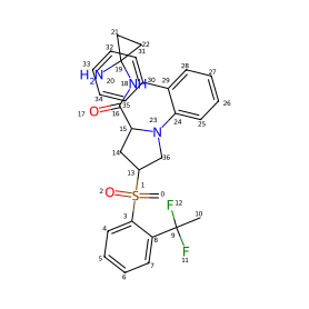 C=S(=O)(c1ccccc1C(C)(F)F)C1CC(C(=O)NC2(N)CC2)N(c2ccccc2-c2ccccc2)C1